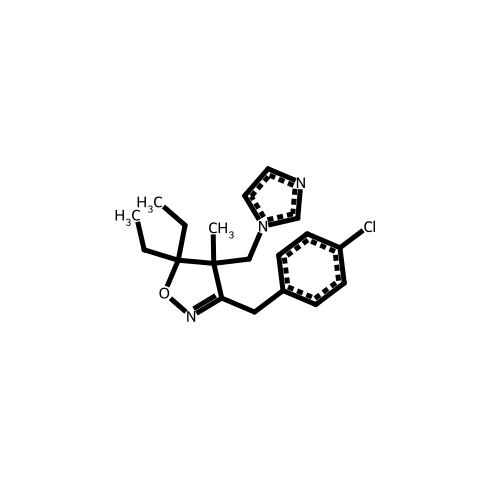 CCC1(CC)ON=C(Cc2ccc(Cl)cc2)C1(C)Cn1ccnc1